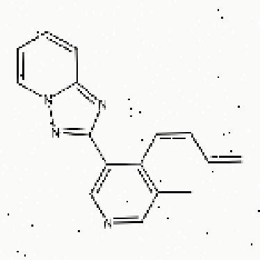 C=C/C=C\c1c(C)cncc1-c1nc2ccccn2n1